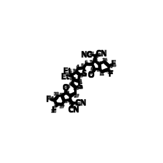 CCC1(CC)c2cc(/C=C3\C(=O)c4cc(F)c(F)cc4C3=C(C#N)C#N)sc2-c2sc(/C=C3\C(=O)c4cc(F)c(F)cc4C3=C(C#N)C#N)cc21